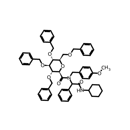 COc1ccc(CN(C(=O)[C@@H]2O[C@H](COCc3ccccc3)[C@@H](OCc3ccccc3)[C@H](OCc3ccccc3)[C@H]2OCc2ccccc2)C(C(=O)NC2CCCCC2)c2ccccc2)cc1